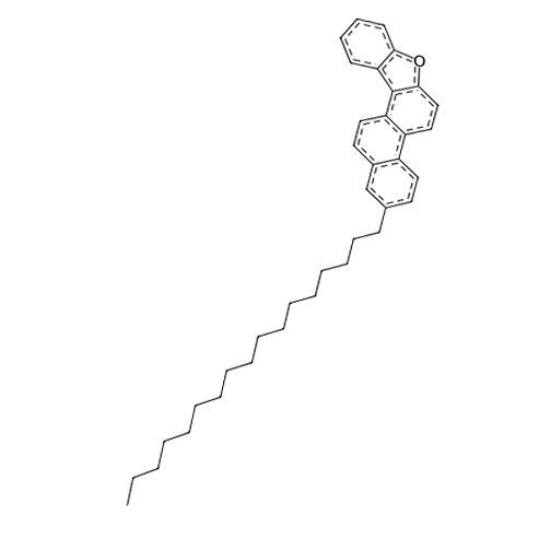 CCCCCCCCCCCCCCCCCc1ccc2c(ccc3c2ccc2oc4ccccc4c23)c1